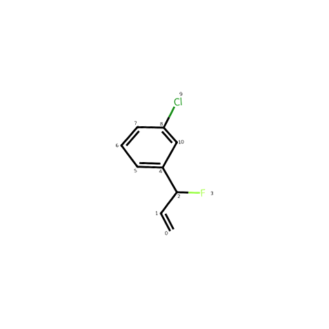 C=CC(F)c1cccc(Cl)c1